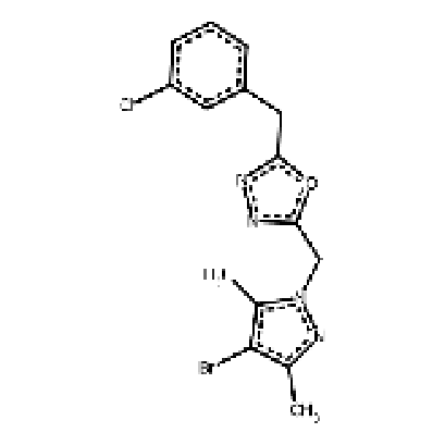 Cc1nn(Cc2nnc(Cc3cccc(Cl)c3)o2)c(C)c1Br